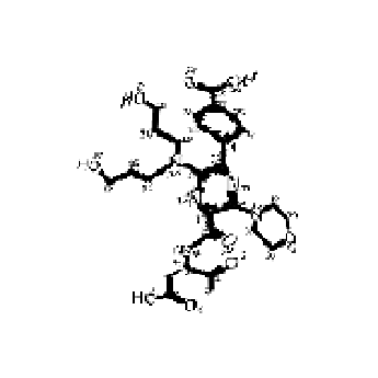 CC(=O)[C@@H](CC(=O)O)NC(=O)c1nc(N(CCCO)CCCO)c(-c2ccc(C(=O)O)cc2)nc1N1CCOCC1